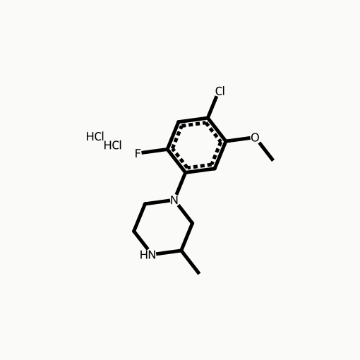 COc1cc(N2CCNC(C)C2)c(F)cc1Cl.Cl.Cl